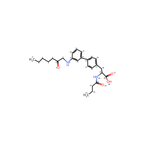 CCCCCC(=O)CNc1cccc(-c2ccc(CC(NC(=O)CCC)C(=O)O)cc2)c1